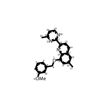 COc1cccc(COc2cc(C)cc3ccc(-c4nccc(C)n4)nc23)c1